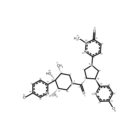 C[C@@H]1CN(C(=O)[C@@H]2CN(c3ccc(=O)n(C)n3)C[C@H]2c2ccc(Cl)cn2)C[C@H](C)[C@@]1(O)c1ccc(Cl)cn1